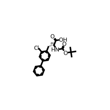 CC(C)(C)OC(=O)N[C@H](Cc1ccc(-c2ccccc2)cc1Cl)C(=O)O